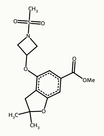 COC(=O)c1cc(OC2CN(S(C)(=O)=O)C2)c2c(c1)OC(C)(C)C2